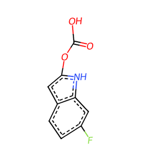 O=C(O)Oc1cc2ccc(F)cc2[nH]1